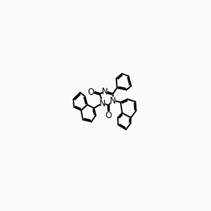 O=c1nc(-c2ccccc2)n(-c2cccc3ccccc23)c(=O)n1-c1cccc2ccccc12